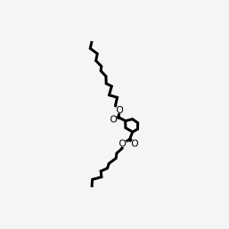 CCCCCCCCCCCCOC(=O)C1CCCC(C(=O)OCCCCCCCCC)C1